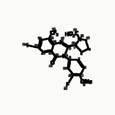 COc1ccc(-n2c([C@@H]3CCCN3C(=O)O)nc3c(C(F)(F)F)cc(I)cc3c2=O)cc1F